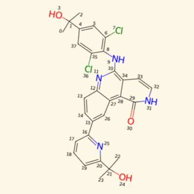 CC(C)(O)c1cc(Cl)c(Nc2nc3ccc(-c4cccc(C(C)(C)O)n4)cc3c3c(=O)[nH]ccc23)c(Cl)c1